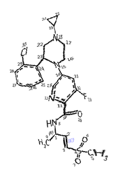 C[C@H](/C=C/S(C)(=O)=O)NC(=O)c1ncc(N2CCN(C3CC3)CC2c2ccccc2Cl)cc1F